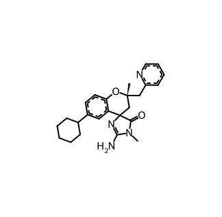 CN1C(=O)C2(C[C@@](C)(Cc3ccccn3)Oc3ccc(C4CCCCC4)cc32)N=C1N